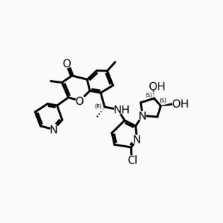 Cc1cc([C@@H](C)Nc2ccc(Cl)nc2N2C[C@H](O)[C@@H](O)C2)c2oc(-c3cccnc3)c(C)c(=O)c2c1